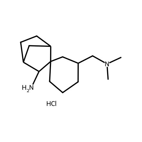 CN(C)CC1CCCC2(C1)C1CCC(C1)C2N.Cl